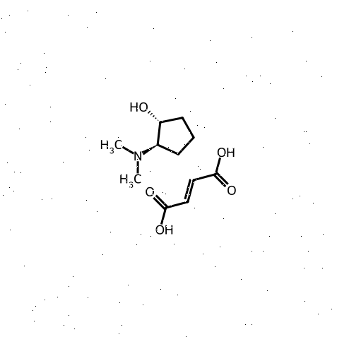 CN(C)[C@@H]1CCC[C@H]1O.O=C(O)C=CC(=O)O